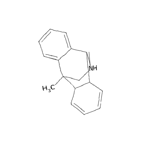 CC12CNC(=CC3C=CC=CC31)c1ccccc12